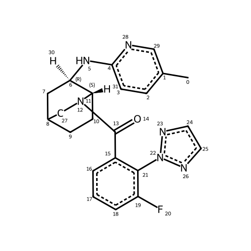 Cc1ccc(N[C@@H]2CC3CC[C@@H]2N(C(=O)c2cccc(F)c2-n2nccn2)C3)nc1